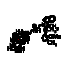 C=C1CCCC(/C=C/C2=[N+](CCC(=O)NCCCO[C@H]3[C@H]4OC5[C@@H](CO)O[C@H](CCCO[C@@H]([C@@H]3O)[C@@H](CO)O4)[C@H](O)[C@H]5O)c3ccc4ccccc4c3C2(C)C)=C1OC